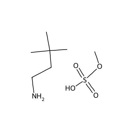 CC(C)(C)CCN.COS(=O)(=O)O